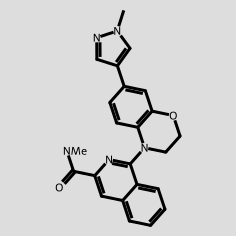 CNC(=O)c1cc2ccccc2c(N2CCOc3cc(-c4cnn(C)c4)ccc32)n1